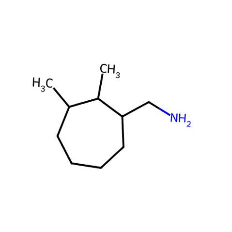 CC1CCCCC(CN)C1C